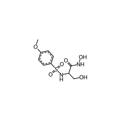 COc1ccc(S(=O)(=O)NC(CO)C(=O)NO)cc1